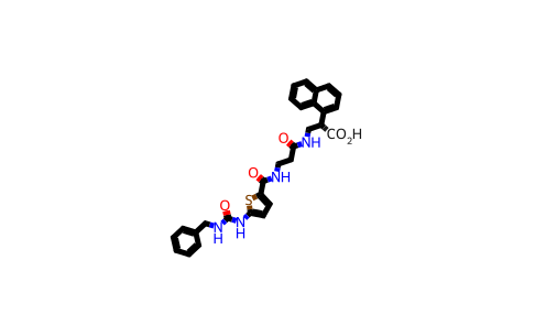 O=C(CCNC(=O)c1ccc(NC(=O)NCc2ccccc2)s1)NCC(C(=O)O)c1cccc2ccccc12